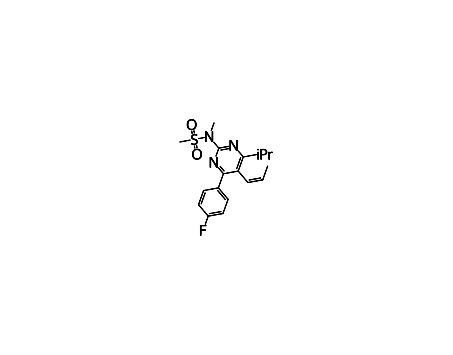 C/C=C\c1c(-c2ccc(F)cc2)nc(N(C)S(C)(=O)=O)nc1C(C)C